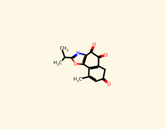 CC1=CC(=O)CC2=C1c1oc(C(C)C)nc1C(=O)C2=O